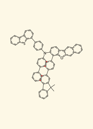 CC1(C)c2ccccc2-c2ccc(-c3ccc(-c4c(N(c5ccc(-c6ccccc6)cc5)c5ccc(-c6cccc7c6sc6ccccc67)cc5)ccc5c4oc4cc6ccccc6cc45)cc3)cc21